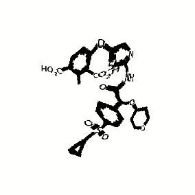 Cc1c(C(=O)O)ccc(Oc2cnc(NC(=O)C(OC3CCOCC3)c3ccc(S(=O)(=O)C4CC4)cc3)s2)c1C(=O)O